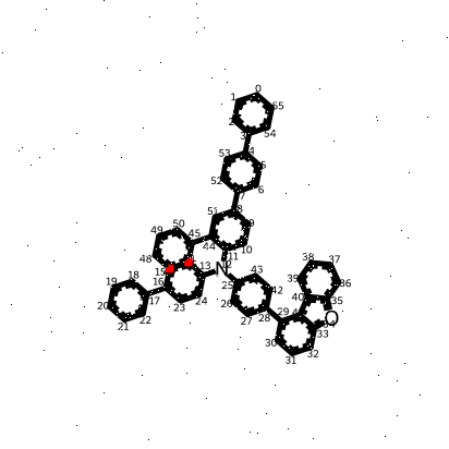 c1ccc(-c2ccc(-c3ccc(N(c4ccc(-c5ccccc5)cc4)c4ccc(-c5cccc6oc7ccccc7c56)cc4)c(-c4ccccc4)c3)cc2)cc1